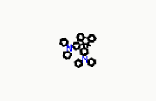 CC1(C)c2ccccc2-c2ccccc2C1(c1ccc(N(c2ccccc2)c2ccccc2)cc1)c1ccc(N(c2ccccc2)c2ccccc2)cc1